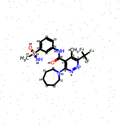 Cc1c(C(F)(F)F)nnc(N2CCCCCC2)c1C(=O)Nc1cccc(S(C)(=N)=O)c1